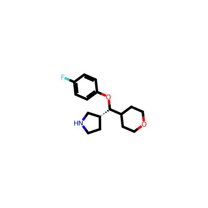 Fc1ccc(OC(C2CCOCC2)[C@@H]2CCNC2)cc1